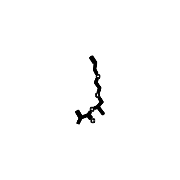 C=CCOCCOCC(C)OC(=O)C(=C)C